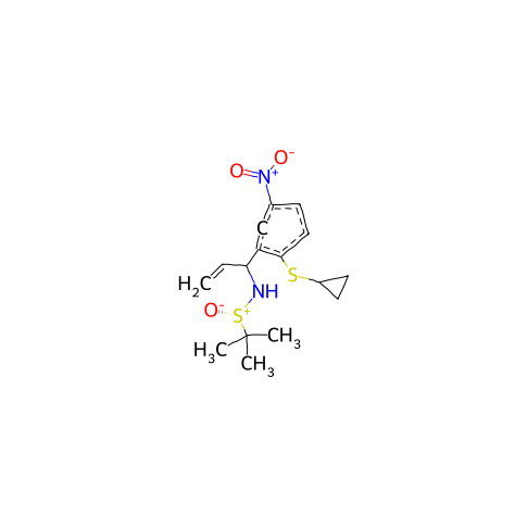 C=CC(N[S@@+]([O-])C(C)(C)C)c1cc([N+](=O)[O-])ccc1SC1CC1